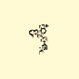 Cc1cccc2cc([C@@H]3c4nc[nH]c4CCN3C(=O)c3nnc(-c4cnn(C(F)(F)F)c4)o3)nn12